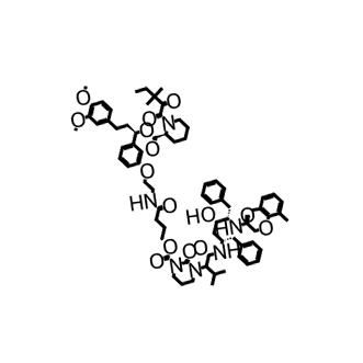 CCC(C)(C)C(=O)C(=O)N1CCCC[C@H]1C(=O)O[C@H](CCc1ccc(OC)c(OC)c1)c1cccc(OCCNC(=O)CCCOC(=O)N2CCCN(C(C(=O)N[C@@H](Cc3ccccc3)C[C@H](O)[C@H](Cc3ccccc3)NC(=O)COc3c(C)cccc3C)C(C)C)C2=O)c1